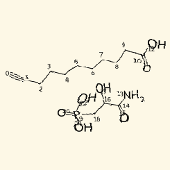 C#CCCCCCCCCC(=O)O.NC(=O)C(O)CP(=O)(O)O